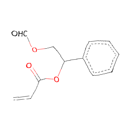 C=CC(=O)OC(COC=O)c1ccccc1